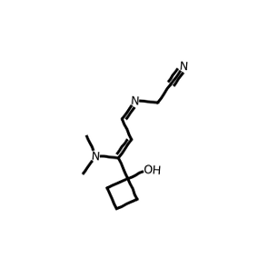 CN(C)/C(=C\C=N/CC#N)C1(O)CCC1